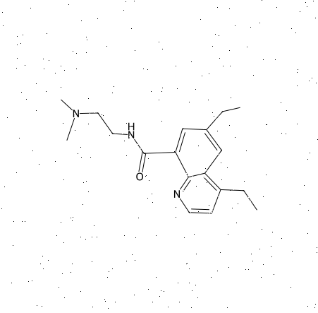 CCc1cc(C(=O)NCCN(C)C)c2nccc(CC)c2c1